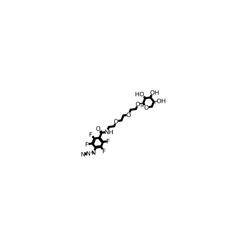 [N-]=[N+]=Nc1c(F)c(F)c(C(=O)NCCOCCOCCO[C@@H]2OC[C@@H](O)C(O)C2O)c(F)c1F